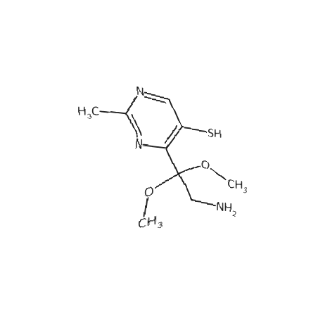 COC(CN)(OC)c1nc(C)ncc1S